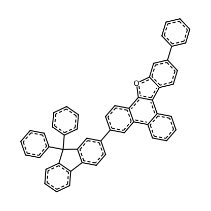 c1ccc(-c2ccc3c(c2)oc2c4ccc(-c5ccc6c(c5)C(c5ccccc5)(c5ccccc5)c5ccccc5-6)cc4c4ccccc4c32)cc1